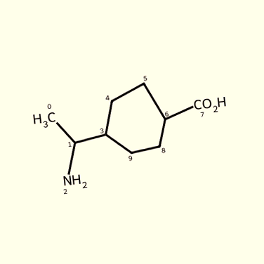 CC(N)C1CCC(C(=O)O)CC1